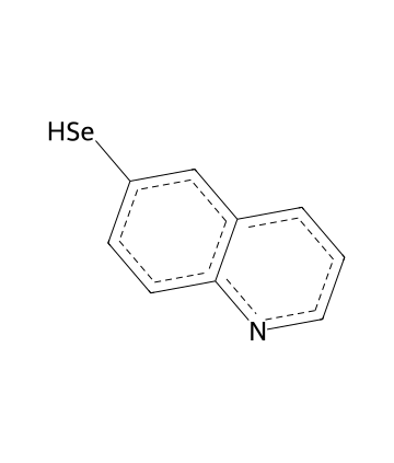 [SeH]c1ccc2ncccc2c1